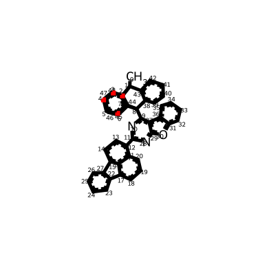 CC12c3ccccc3C(c3nc(-c4ccc5c6c(cccc46)-c4ccccc4-5)nc4oc5ccccc5c34)(c3ccccc31)c1ccccc12